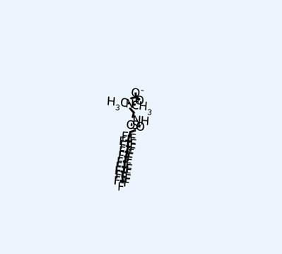 C[N+](C)(CCCNS(=O)(=O)CCC(F)(F)C(F)(F)C(F)(F)C(F)(F)C(F)(F)C(F)(F)C(F)(F)C(F)(F)C(F)(F)C(F)(F)F)CC(=O)[O-]